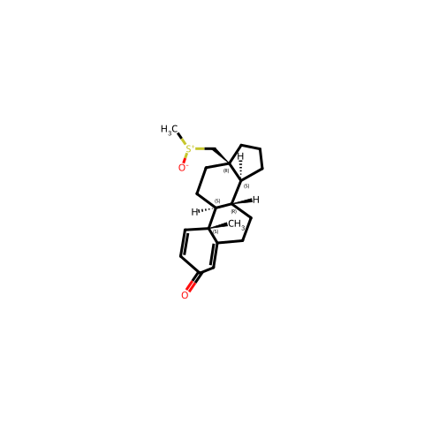 C[S+]([O-])C[C@@]12CCC[C@H]1[C@@H]1CCC3=CC(=O)C=C[C@]3(C)[C@H]1CC2